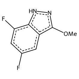 COc1n[nH]c2c(F)cc(F)cc12